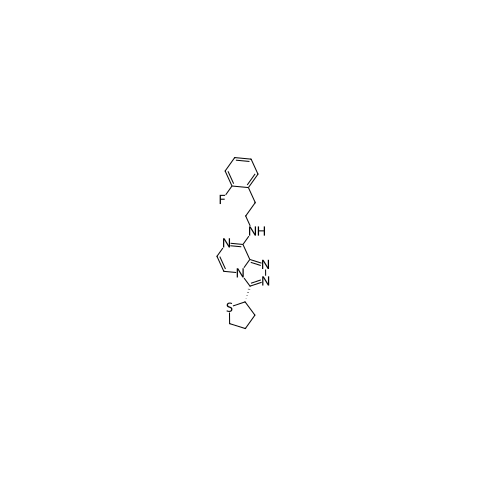 Fc1ccccc1CCNc1nccn2c([C@@H]3CCCS3)nnc12